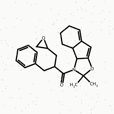 CC1(C)OC2=CC3=CCCCC3C2N1C(=O)C(Cc1ccccc1)CC1CO1